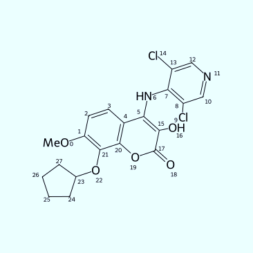 COc1ccc2c(Nc3c(Cl)cncc3Cl)c(O)c(=O)oc2c1OC1CCCC1